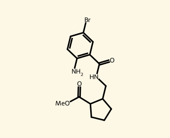 COC(=O)C1CCCC1CNC(=O)c1cc(Br)ccc1N